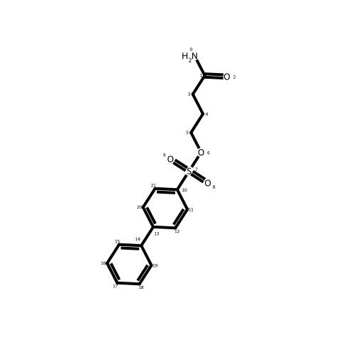 NC(=O)CCCOS(=O)(=O)c1ccc(-c2ccccc2)cc1